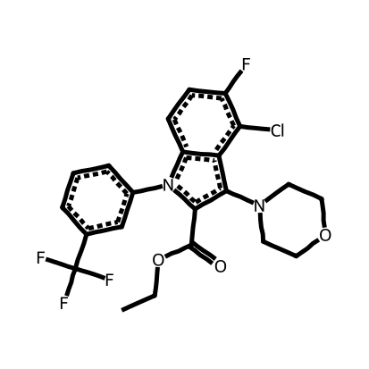 CCOC(=O)c1c(N2CCOCC2)c2c(Cl)c(F)ccc2n1-c1cccc(C(F)(F)F)c1